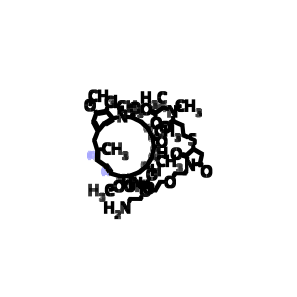 COc1cc2cc(c1Cl)N(C)C(=O)C[C@H](OC(=O)[C@H](C)N(C)C(=O)CCSC1CC(=O)N(CCOCCOCCN)C1=O)[C@]1(C)O[C@H]1[C@H](C)[C@@H]1C[C@@](O)(NC(=O)O1)[C@H](OC)/C=C/C=C(\C)C2